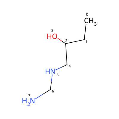 CCC(O)CNCN